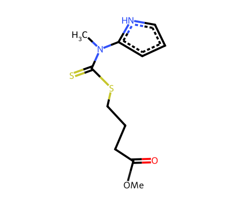 COC(=O)CCCSC(=S)N(C)c1ccc[nH]1